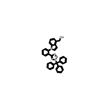 OCc1cccc2c1ccn2-c1ccccc1-c1nnn(C(c2ccccc2)(c2ccccc2)c2ccccc2)n1